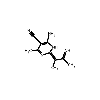 CC(=N)/C(C)=C1/N=C(C)C(C#N)=C(N)N1